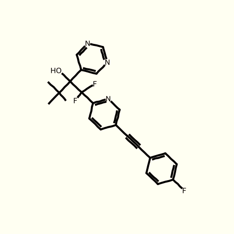 CC(C)(C)C(O)(c1cncnc1)C(F)(F)c1ccc(C#Cc2ccc(F)cc2)cn1